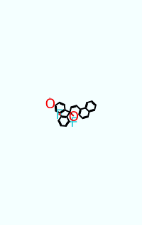 COc1ccc(C2(c3c(F)cccc3F)C=Cc3c(ccc4ccccc34)O2)cc1